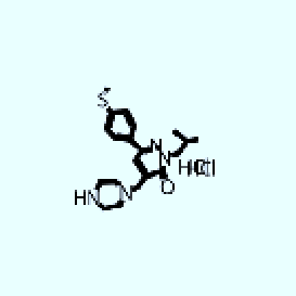 CSc1ccc(-c2cc(CN3CCNCC3)c(=O)n(CC(C)C)n2)cc1.Cl.Cl